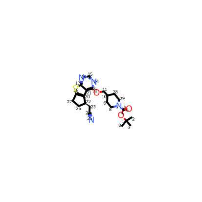 CC(C)(C)OC(=O)N1CCC(COc2ncnc3sc4c(c23)[C@@H](CC#N)CC4)CC1